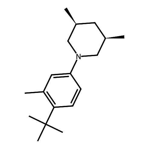 Cc1cc(N2C[C@H](C)C[C@H](C)C2)ccc1C(C)(C)C